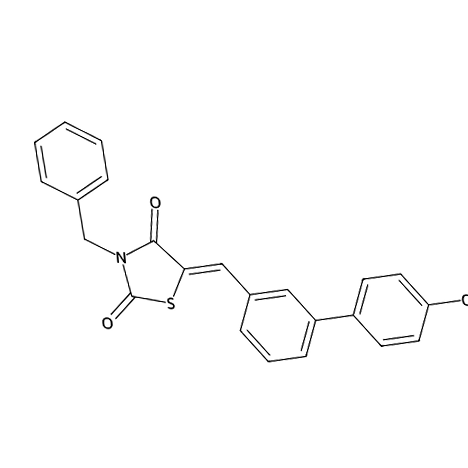 O=C1S/C(=C\c2cccc(-c3ccc(Cl)cc3)c2)C(=O)N1Cc1ccccc1